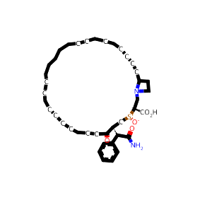 NC(=O)C(c1ccccc1)[C@H]1C[S+]([O-])[C@H](C(=O)O)CN2CCC2CCCCCCCCCCCCCCCCCCCCCCCCC1=O